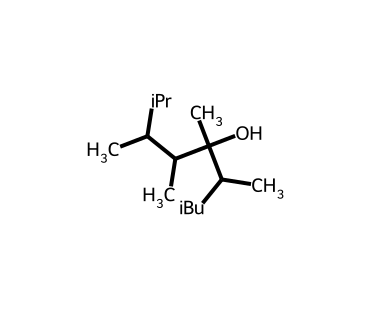 CCC(C)C(C)C(C)(O)C(C)C(C)C(C)C